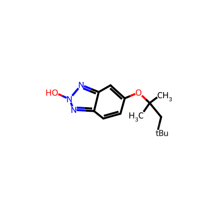 CC(C)(C)CC(C)(C)Oc1ccc2nn(O)nc2c1